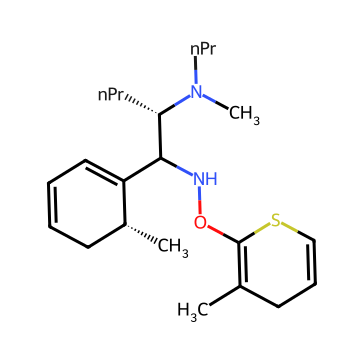 CCC[C@@H](C(NOC1=C(C)CC=CS1)C1=CC=CC[C@H]1C)N(C)CCC